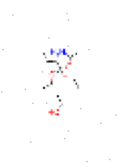 CCC[Si](OCC)(OCC)OC(C)N.CCO